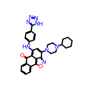 O=C1c2ccccc2-c2onc3c(N4CCN(C5CCCCC5)CC4)cc(Nc4ccc(-c5nnn[nH]5)cc4)c1c23